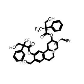 CC(C)C[C@@H]1CN2CCc3cc(CO)c(OC(=O)C(CO)(c4ccccc4)C(F)(F)F)cc3C2CC1OC(=O)[C@](CO)(c1ccccc1)C(F)(F)F